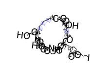 CO[C@@H]1C[C@H](CC(C)[C@@H]2CC(=O)[C@H](C)/C=C(\C)[C@@H](O)[C@@H](OC)C(=O)[C@H](C)C[C@H](C)/C=C/C=C/C=C(\C)[C@H](OCCO)C[C@@H]3CC[C@@H](C)[C@@](O)(O3)C(=O)C(=O)N3CCCC[C@H]3C(=O)O2)CC[C@H]1OCCCI